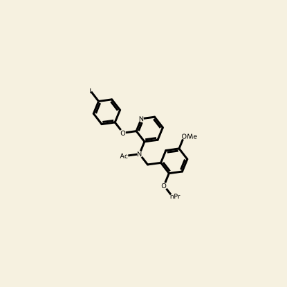 CCCOc1ccc(OC)cc1CN(C(C)=O)c1cccnc1Oc1ccc(I)cc1